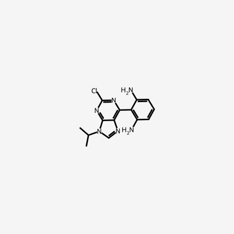 CC(C)n1cnc2c(-c3c(N)cccc3N)nc(Cl)nc21